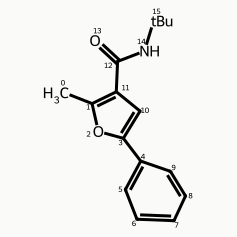 Cc1oc(-c2ccccc2)cc1C(=O)NC(C)(C)C